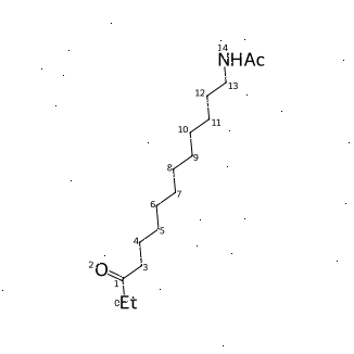 CCC(=O)CCCCCCCCCCCNC(C)=O